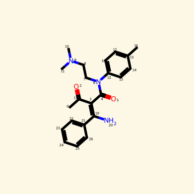 CC(=O)C(C(=O)N(CCN(C)C)c1ccc(C)cc1)=C(N)c1ccccc1